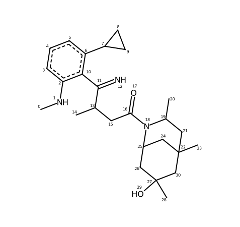 CNc1cccc(C2CC2)c1C(=N)C(C)CC(=O)N1C(C)CC2(C)CC1CC(C)(O)C2